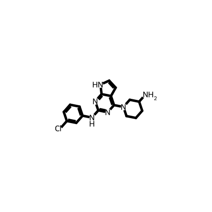 NC1CCCN(c2nc(Nc3cccc(Cl)c3)nc3[nH]ccc23)C1